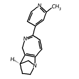 Cc1cc(C2=NCC3=C(C=C2)N2CC[C@@H]3C2)ccn1